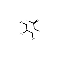 CCC(=O)O.OCC(O)CO